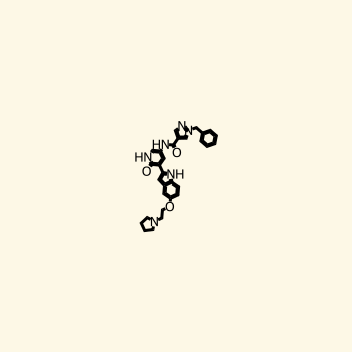 O=C(Nc1c[nH]c(=O)c(-c2cc3cc(OCCN4CCCC4)ccc3[nH]2)c1)c1cnn(Cc2ccccc2)c1